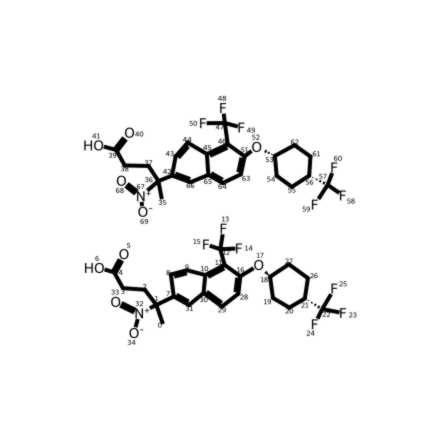 CC(CCC(=O)O)(c1ccc2c(C(F)(F)F)c(O[C@H]3CC[C@@H](C(F)(F)F)CC3)ccc2c1)[N+](=O)[O-].CC(CCC(=O)O)(c1ccc2c(C(F)(F)F)c(O[C@H]3CC[C@@H](C(F)(F)F)CC3)ccc2c1)[N+](=O)[O-]